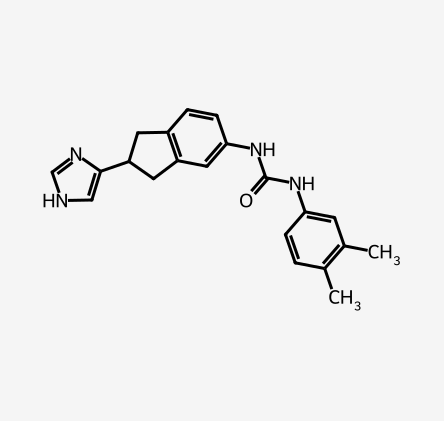 Cc1ccc(NC(=O)Nc2ccc3c(c2)CC(c2c[nH]cn2)C3)cc1C